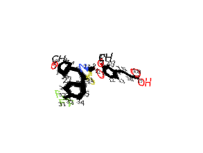 COc1ccc(-c2nc(COc3ccc(CCC(=O)O)cc3OC)sc2-c2ccc(C(F)(F)F)cc2)cc1